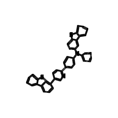 c1ccc(N(c2ccc(-c3ccc(-c4cccc5c4sc4ccccc45)cn3)cc2)c2ccc3sc4ccccc4c3c2)cc1